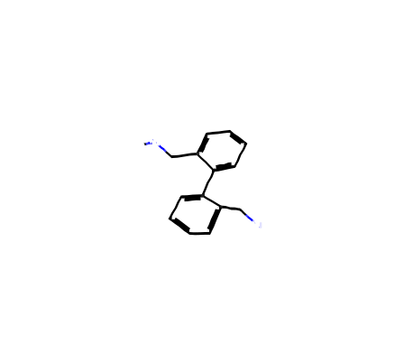 CC(C)NCc1ccccc1-c1ccccc1CN